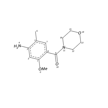 COc1cc(N)c(C)cc1C(=O)N1CCOCC1